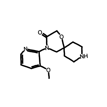 COc1cccnc1N1CC2(CCNCC2)OCC1=O